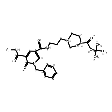 CNC(=O)c1cc(C(=O)NCCCN2CCN(C(=O)OC(C)(C)C)CC2)cn(Cc2ccccc2)c1=O